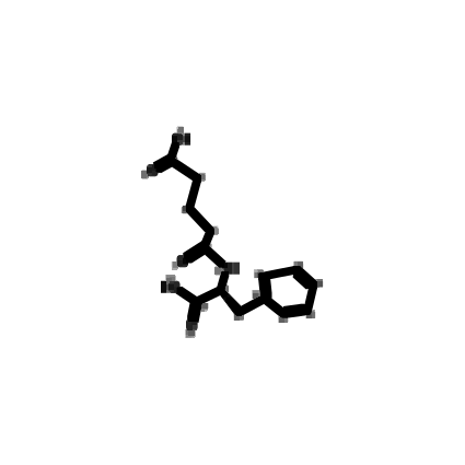 O=C(O)CCCC(=O)N[C@@H](Cc1ccccc1)C(=O)O